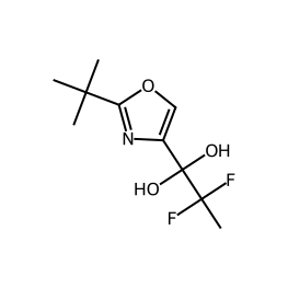 CC(C)(C)c1nc(C(O)(O)C(C)(F)F)co1